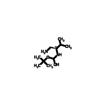 CC(C)[C@@H](CN)NC(O)OC(C)(C)C